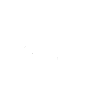 CC(C)NCCN1CCOC(=O)CC1